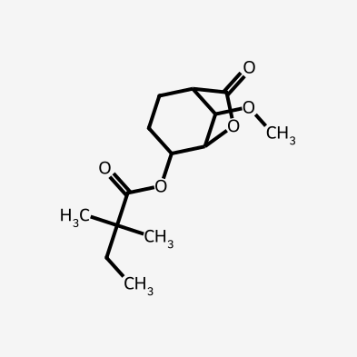 CCC(C)(C)C(=O)OC1CCC2C(=O)OC1C2OC